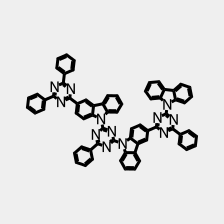 c1ccc(-c2nc(-c3ccccc3)nc(-c3ccc4c(c3)c3ccccc3n4-c3nc(-c4ccccc4)nc(-n4c5ccccc5c5cc(-c6nc(-c7ccccc7)nc(-n7c8ccccc8c8ccccc87)n6)ccc54)n3)n2)cc1